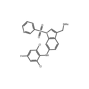 CNCc1cn(S(=O)(=O)c2cccnc2)c2cc(Nc3c(Cl)cc(F)cc3Cl)ccc12